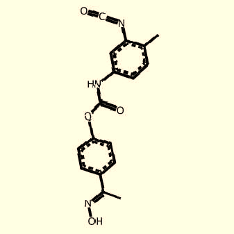 C/C(=N\O)c1ccc(OC(=O)Nc2ccc(C)c(N=C=O)c2)cc1